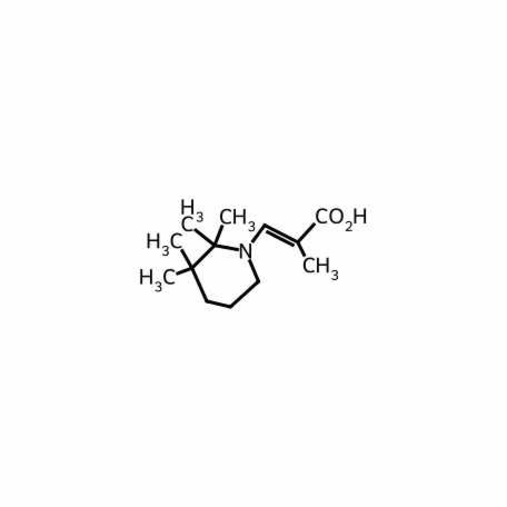 CC(=CN1CCCC(C)(C)C1(C)C)C(=O)O